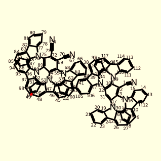 N#Cc1c(-n2c3ccccc3c3ccccc32)c(-n2c3ccccc3c3ccccc32)cc(-n2c3ccccc3c3cc(-c4ccc5c6ccccc6n(-c6c(-n7c8ccccc8c8ccccc87)c(C#N)c(C#N)c(-n7c8ccccc8c8ccccc87)c6-n6c7ccccc7c7ccccc76)c5c4)ccc32)c1-n1c2ccccc2c2ccccc21